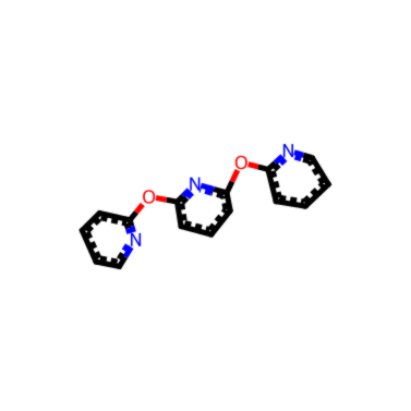 c1ccc(Oc2cccc(Oc3ccccn3)n2)nc1